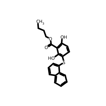 CCCCOC(=O)c1c(O)ccc(Sc2cccc3ccccc23)c1O